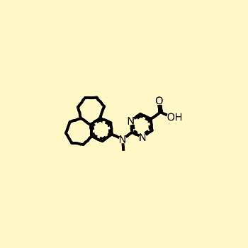 CN(c1cc2c3c(c1)CCCCC3CCCC2)c1ncc(C(=O)O)cn1